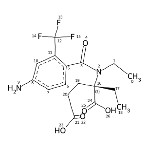 CCN(C(=O)c1ccc(N)cc1C(F)(F)F)[C@@](CC)(CCC(=O)O)C(=O)O